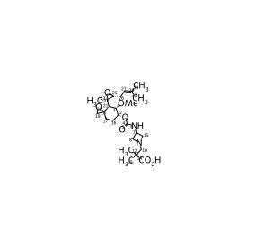 CO[C@@H]1[C@H](OC(=O)NC2CN(CC(C)(C)C(=O)O)C2)CC[C@]2(CO2)[C@H]1[C@@]1(C)O[C@@H]1CC=C(C)C